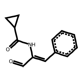 O=[C]C(=Cc1ccccc1)NC(=O)C1CC1